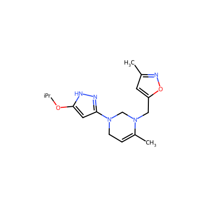 CC1=CCN(c2cc(OC(C)C)[nH]n2)CN1Cc1cc(C)no1